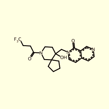 O=C(CCC(F)(F)F)N1CCC(O)(Cn2ccc3ccncc3c2=O)C2(CCCC2)C1